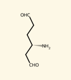 N[C@H](CC=O)CCC=O